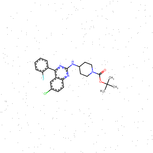 CC(C)(C)OC(=O)N1CCC(Nc2nc(-c3ccccc3F)c3cc(Cl)ccc3n2)CC1